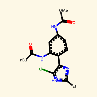 CCCCC(=O)Nc1cc(NC(=O)OC)ccc1-c1nc(CC)[nH]c1Cl